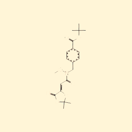 CON(Cc1ccc(C(=O)OC(C)(C)C)cc1)C(=O)/C=C1\OC(C)(C)OC1=O